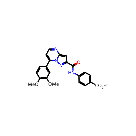 CCOC(=O)c1ccc(NC(=O)c2cc3nccc(-c4ccc(OC)c(OC)c4)n3n2)cc1